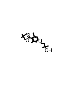 Cc1cc(OCCC(C)(C)O)cc(C)c1B1OCC(C)(C)CO1